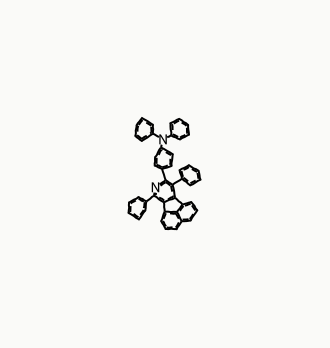 c1ccc(-c2nc(-c3ccc(N(c4ccccc4)c4ccccc4)cc3)c(-c3ccccc3)c3c2-c2cccc4cccc-3c24)cc1